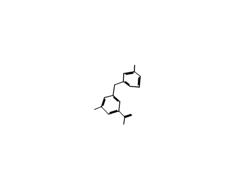 Cc1cc(Cc2cccc(F)c2)cc(C(=O)O)c1